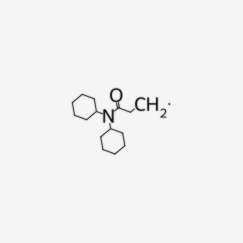 [CH2]CC(=O)N(C1CCCCC1)C1CCCCC1